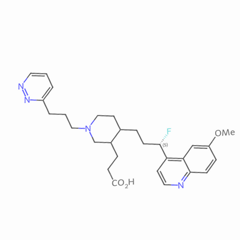 COc1ccc2nccc([C@@H](F)CCC3CCN(CCCc4cccnn4)CC3CCC(=O)O)c2c1